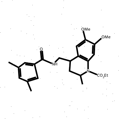 CCOC(=O)N1c2cc(OC)c(OC)cc2C(CNC(=O)c2cc(C)cc(C)c2)CC1C